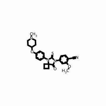 COc1cc(N2C(=O)C3(CCC3)N(c3ccc(OC4CCN(C)CC4)cc3)C2=S)ccc1C#N